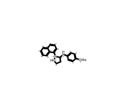 COc1ccc(NC2CCNN2c2cccc3ccccc23)cc1